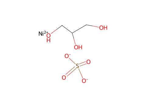 O=S(=O)([O-])[O-].OCC(O)CO.[Ni+2]